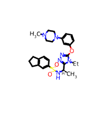 CCn1c(Oc2cccc(N3CCN(C)CC3)c2)nnc1[C@@H](C)NS(=O)(=O)c1ccc2c(c1)CCC2